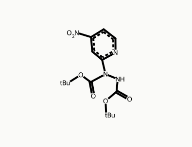 CC(C)(C)OC(=O)NN(C(=O)OC(C)(C)C)c1cc([N+](=O)[O-])ccn1